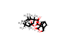 CC(C)CC(C)(C(=O)OC1C2CC3C1OC(=O)C3(C(=O)OC(CC(C)(C)C)OC(C)C)C2)C(C)C